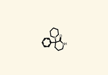 O=C1NCCCC1(c1ccccc1)N1CCCCC1